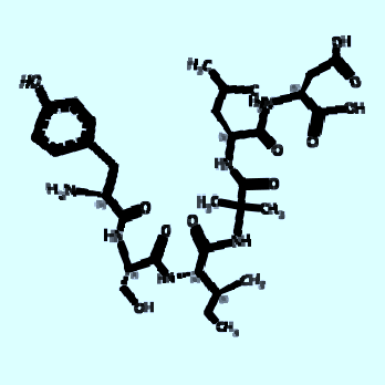 CC[C@H](C)[C@H](NC(=O)[C@H](CO)NC(=O)[C@@H](N)Cc1ccc(O)cc1)C(=O)NC(C)(C)C(=O)N[C@@H](CC(C)C)C(=O)N[C@@H](CC(=O)O)C(=O)O